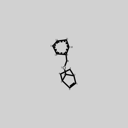 C1=CC2CCC1C2OCc1ccccc1